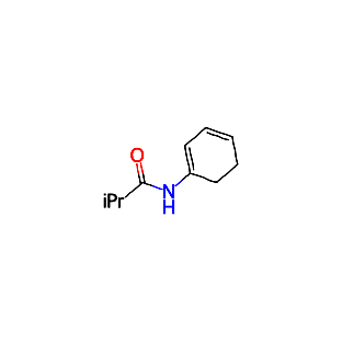 CC(C)C(=O)NC1=CC=CCC1